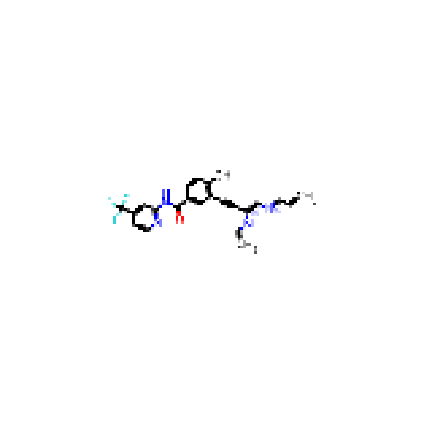 C=C/C=N/C=C(/C#Cc1cc(C(=O)Nc2cc(C(F)(F)F)ccn2)ccc1C)NC=C